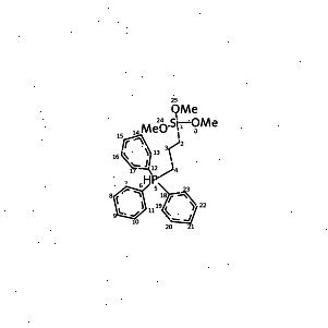 CO[Si](CCC[PH](c1ccccc1)(c1ccccc1)c1ccccc1)(OC)OC